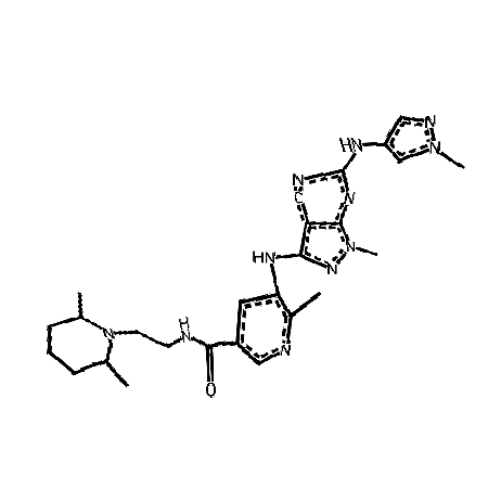 Cc1ncc(C(=O)NCCN2C(C)CCCC2C)cc1Nc1nn(C)c2nc(Nc3cnn(C)c3)ncc12